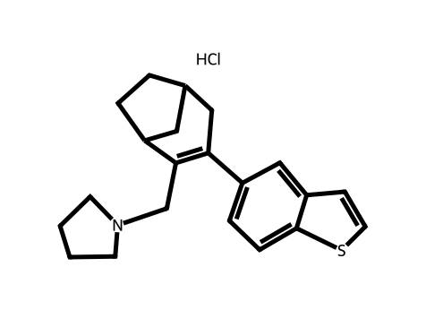 Cl.c1cc2cc(C3=C(CN4CCCC4)C4CCC(C3)C4)ccc2s1